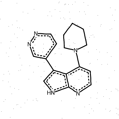 c1cc(-c2c[nH]c3nccc(N4CCCCC4)c23)cnn1